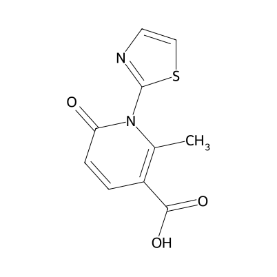 Cc1c(C(=O)O)ccc(=O)n1-c1nccs1